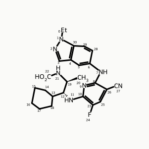 CCn1ncc2cc(Nc3nc(N[C@H](C4CCCCC4)[C@H](C)NC(=O)O)c(F)cc3C#N)ccc21